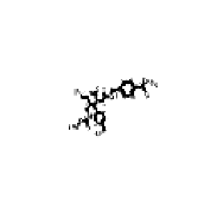 COC(=O)c1ccc(CNC(=O)Cc2c(C)nc(CC(C)C)c(CNC(=O)OC(C)(C)C)c2-c2ccc(CN)cc2)cc1